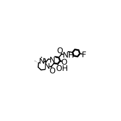 C[C@H]1CCCN2C(=O)c3c(O)c(=O)c(C(=O)NCc4ccc(F)cc4)cn3CC2(C)N1C